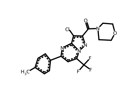 Cc1ccc(-c2cc(C(F)(F)F)n3nc(C(=O)N4CCOCC4)c(Cl)c3n2)cc1